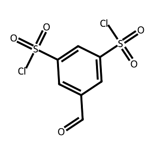 O=Cc1cc(S(=O)(=O)Cl)cc(S(=O)(=O)Cl)c1